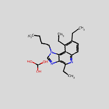 CCCCn1cnc2c(CC)nc3ccc(CC)c(CC)c3c21.OC(O)O